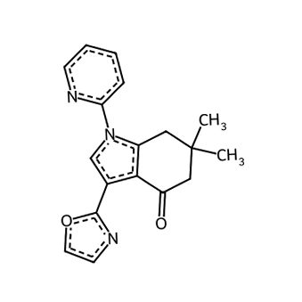 CC1(C)CC(=O)c2c(-c3ncco3)cn(-c3ccccn3)c2C1